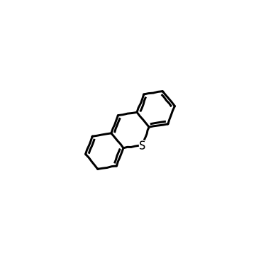 C1=CC2=Cc3ccccc3SC2=CC1